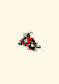 CN[C@H](CC(C)C)C(=O)N[C@H]1C(=O)N[C@@H](CC(N)=O)C(=O)N[C@H]2C(=O)N[C@H]3C(=O)N[C@H](C(=O)N[C@H](C(=O)NCCCC(C)=O)c4cc(O)cc(O)c4-c4cc3ccc4O)[C@H](O)c3ccc(c(Cl)c3)Oc3cc2cc(c3OC2OC(CO)C(O)C(O)C2OC2C[C@](C)(N)C(O)C(C)O2)Oc2ccc(cc2Cl)[C@H]1O